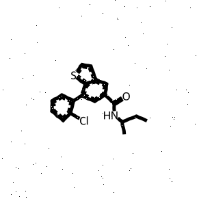 CCC(C)NC(=O)c1cc(-c2ccccc2Cl)c2sccc2c1